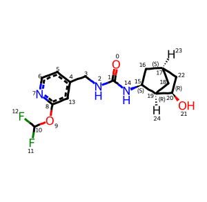 O=C(NCc1ccnc(OC(F)F)c1)N[C@H]1C[C@@H]2C[C@H]1[C@H](O)C2